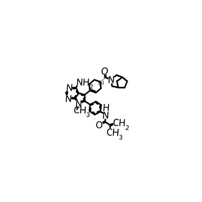 C=C(C)C(=O)Nc1ccc(-c2c(C3=CC[C@@H](C(=O)N4CC5CCC(C5)C4)CC3)c3c(N)ncnc3n2C)cc1